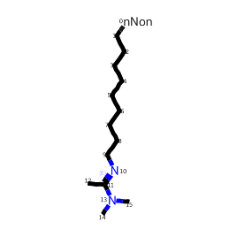 CCCCCCCCCCCCCCCCCC/N=C(\C)N(C)C